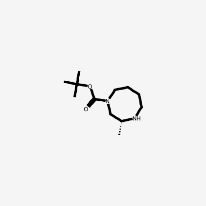 C[C@@H]1CN(C(=O)OC(C)(C)C)CCCCN1